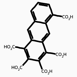 O=C(O)c1c(C(=O)O)c(C(=O)O)c2cc3c(C(=O)O)cccc3cc2c1C(=O)O